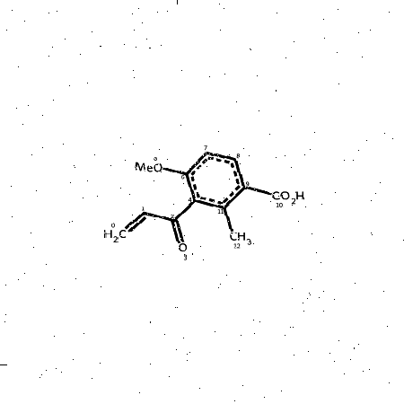 C=CC(=O)c1c(OC)ccc(C(=O)O)c1C